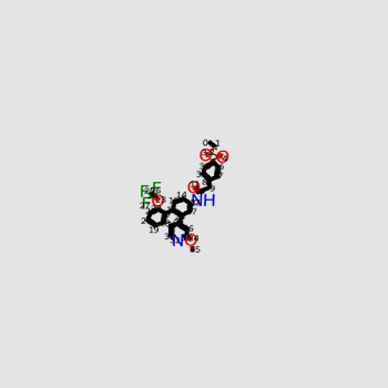 CCS(=O)(=O)c1ccc(CC(=O)Nc2ccc(-c3ccccc3OC(F)(F)F)c(-c3ccnc(OC)c3)c2)cc1